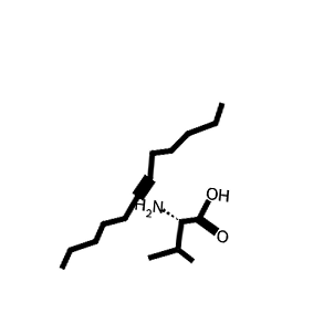 CC(C)[C@H](N)C(=O)O.CCCCCC#CCCCCC